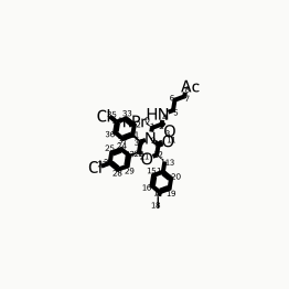 CCC[C@H](C(=O)NCCCC(C)=O)N1C(=O)[C@H](Cc2ccc(I)cc2)O[C@@H](c2ccc(Cl)cc2)[C@H]1c1ccc(Cl)cc1